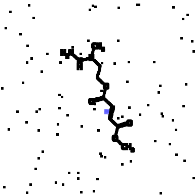 COC(=O)/C=C/C(=O)OCCN(C)NN